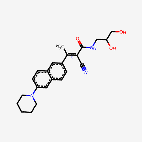 C/C(=C(/C#N)C(=O)NCC(O)CO)c1ccc2cc(N3CCCCC3)ccc2c1